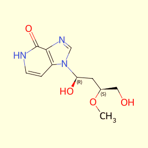 CO[C@H](CO)C[C@@H](O)n1cnc2c(=O)[nH]ccc21